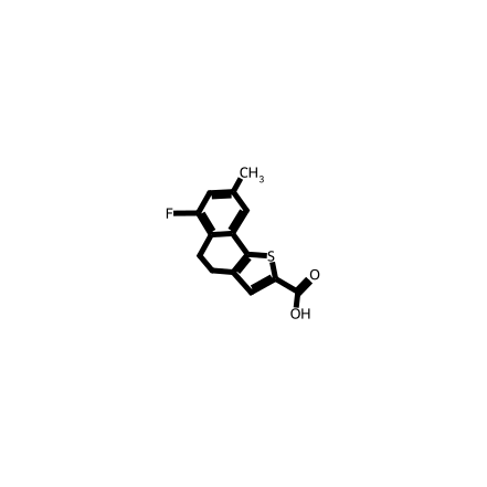 Cc1cc(F)c2c(c1)-c1sc(C(=O)O)cc1CC2